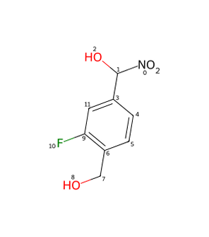 O=[N+]([O-])C(O)c1ccc(CO)c(F)c1